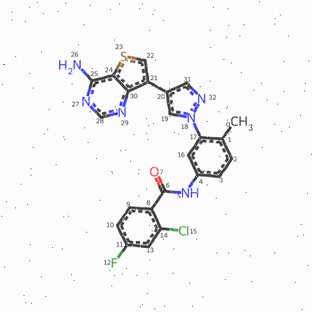 Cc1ccc(NC(=O)c2ccc(F)cc2Cl)cc1-n1cc(-c2csc3c(N)ncnc23)cn1